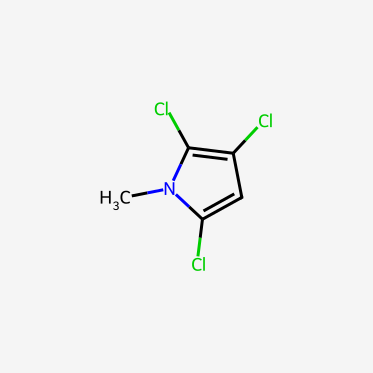 Cn1c(Cl)cc(Cl)c1Cl